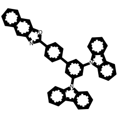 c1ccc2cc3oc(-c4ccc(-c5cc(-n6c7ccccc7c7ccccc76)cc(-n6c7ccccc7c7ccccc76)c5)cc4)nc3cc2c1